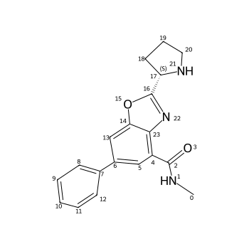 CNC(=O)c1cc(-c2ccccc2)cc2oc([C@@H]3CCCN3)nc12